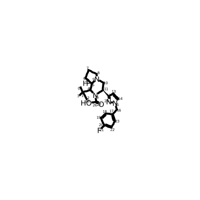 CC(C)(C)C1[C@H]2CCCN2C[C@@H](c2ccn(Cc3ccc(F)cc3)n2)N1C(=O)O